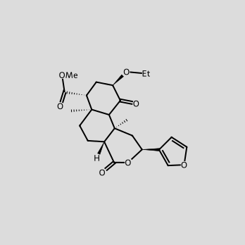 CCO[C@@H]1C[C@@H](C(=O)OC)[C@]2(C)CC[C@H]3C(=O)O[C@H](c4ccoc4)C[C@]3(C)C2C1=O